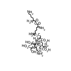 CSCC[C@H](N)C(=O)O.NCC(=O)O.NCCCC[C@H](N)C(=O)O.NCCCC[C@H](N)C(=O)OC(=O)[C@@H](N)CCCCN.N[C@@H](CC(=O)O)C(=O)O.N[C@@H](CO)C(=O)O